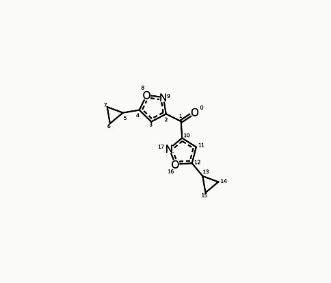 O=C(c1cc(C2CC2)on1)c1cc(C2CC2)on1